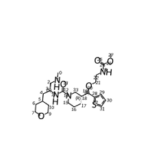 CNC[C@H](CC1CCOCC1)NC(=O)N1CCC[C@@H]([C@@H](OCCNC(=O)OC)c2cccs2)C1